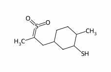 CC(CC1CCC(C)C(S)C1)=S(=O)=O